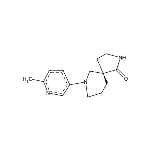 Cc1ccc(N2CCC[C@]3(CCNC3=O)C2)cn1